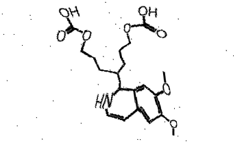 COc1cc2c(cc1OC)C(C(CCCOC(=O)O)CCCOC(=O)O)NC=C2